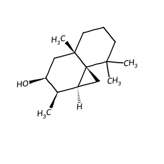 C[C@H]1[C@@H](O)C[C@]2(C)CCCC(C)(C)[C@@]23C[C@@H]13